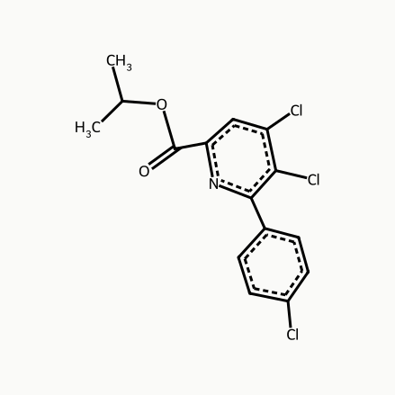 CC(C)OC(=O)c1cc(Cl)c(Cl)c(-c2ccc(Cl)cc2)n1